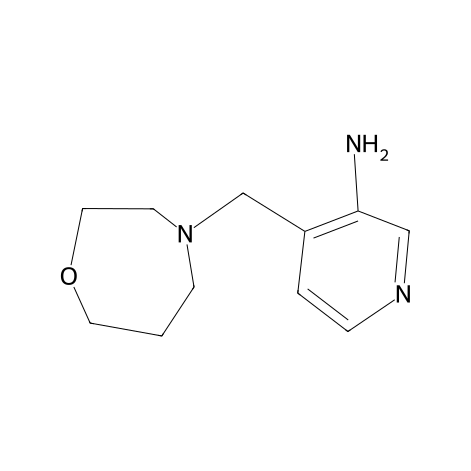 Nc1cnccc1CN1CCCOCC1